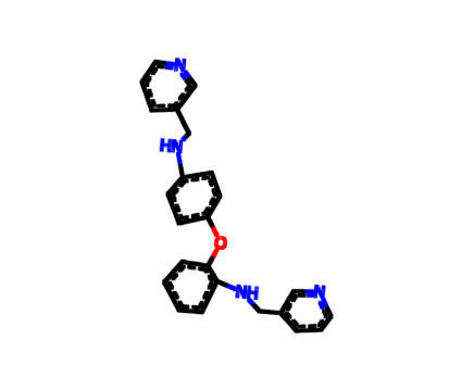 c1cncc(CNc2ccc(Oc3ccccc3NCc3cccnc3)cc2)c1